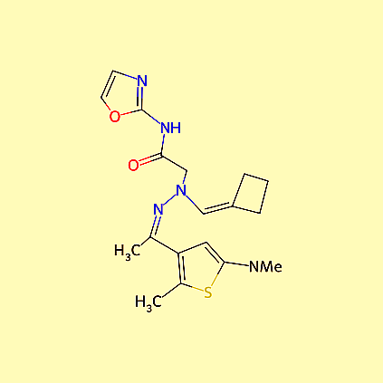 CNc1cc(/C(C)=N\N(C=C2CCC2)CC(=O)Nc2ncco2)c(C)s1